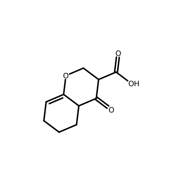 O=C(O)C1COC2=CCCCC2C1=O